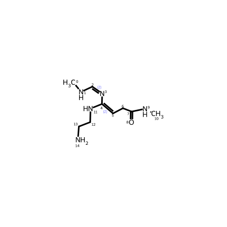 CN/C=N\C(=C/CC(=O)NC)NCCN